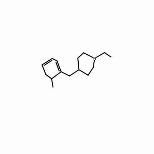 CCN1CCC(CC2=CC=CCC2C)CC1